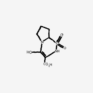 O=C(O)C1=C(O)N2CCCC2S(=O)(=O)N1